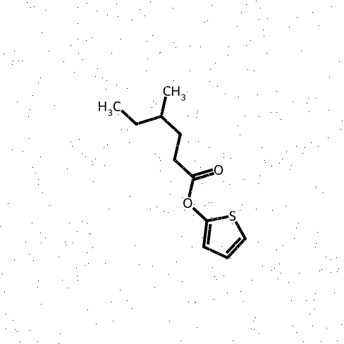 CCC(C)CCC(=O)Oc1cccs1